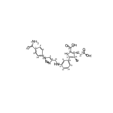 NC(=O)c1ccc(-n2cc(CNc3cccc(-c4sc(C(=O)O)c(OCC(=O)O)c4Br)c3)nn2)cc1